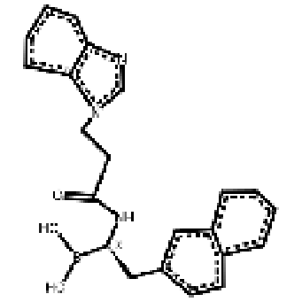 O=C(CCn1cnc2ccccc21)N[C@@H](Cc1ccc2ccccc2c1)B(O)O